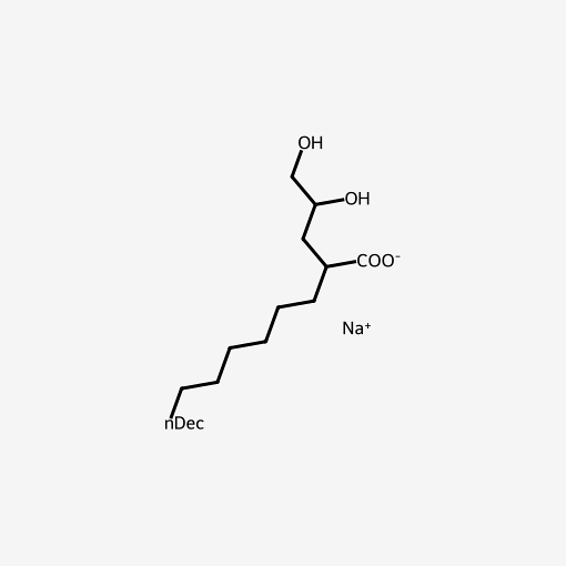 CCCCCCCCCCCCCCCCC(CC(O)CO)C(=O)[O-].[Na+]